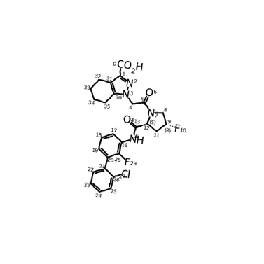 O=C(O)c1nn(CC(=O)N2C[C@H](F)C[C@H]2C(=O)Nc2cccc(-c3ccccc3Cl)c2F)c2c1CCCC2